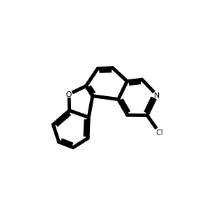 Clc1cc2c(ccc3oc4ccccc4c32)cn1